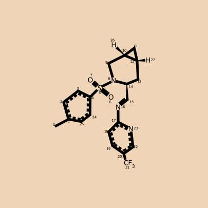 Cc1ccc(S(=O)(=O)N2C[C@@H]3C[C@@H]3C[C@H]2/C=N/c2ccc(C(F)(F)F)cn2)cc1